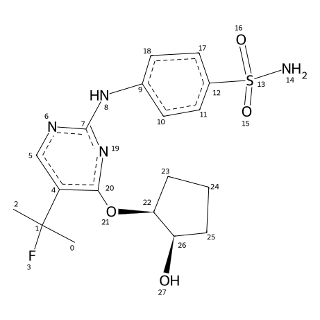 CC(C)(F)c1cnc(Nc2ccc(S(N)(=O)=O)cc2)nc1O[C@H]1CCC[C@H]1O